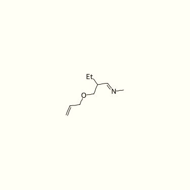 C=CCOCC(/C=N/C)CC